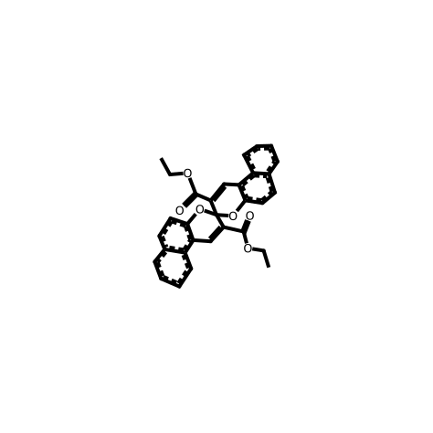 CCOC(=O)C1=Cc2c(ccc3ccccc23)OC12Oc1ccc3ccccc3c1C=C2C(=O)OCC